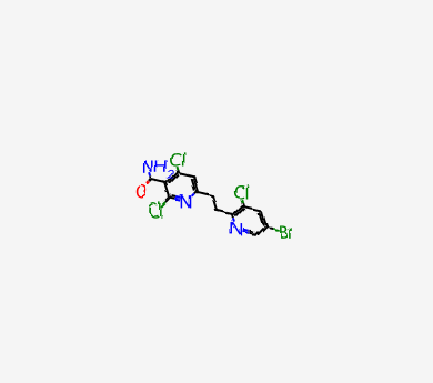 NC(=O)c1c(Cl)cc(CCc2ncc(Br)cc2Cl)nc1Cl